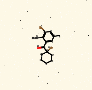 COc1c(Br)cc(C)cc1C(=O)C1(Br)CCCCC1